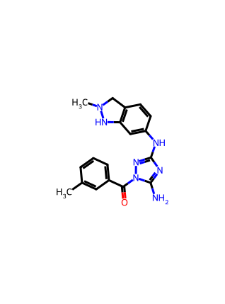 Cc1cccc(C(=O)n2nc(Nc3ccc4c(c3)NN(C)C4)nc2N)c1